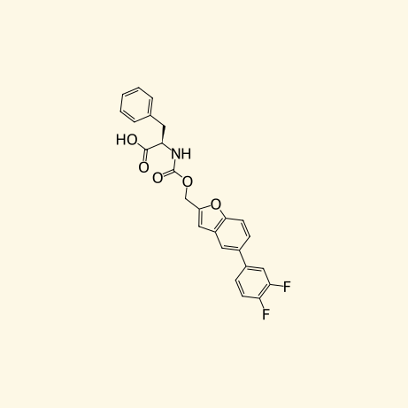 O=C(N[C@H](Cc1ccccc1)C(=O)O)OCc1cc2cc(-c3ccc(F)c(F)c3)ccc2o1